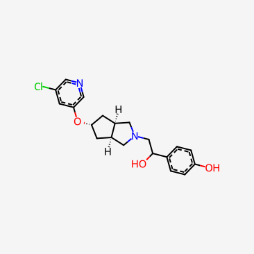 Oc1ccc(C(O)CN2C[C@H]3C[C@H](Oc4cncc(Cl)c4)C[C@H]3C2)cc1